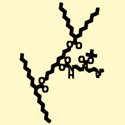 CCCCCCCCC(CCCCCCCC)C(=O)OCCCCC(CCCCOC(=O)C(CCCCCCCC)CCCCCCCC)OC(=O)NCCN(CCN(C)C)C(=O)OC(C)(C)C